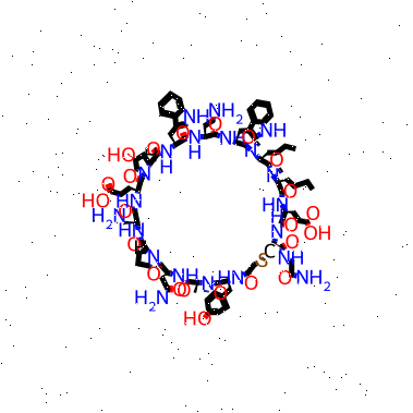 CCCC[C@H]1C(=O)N(C)[C@@H](CCCC)C(=O)N[C@@H](CCC(=O)O)C(=O)N[C@H](C(=O)NCC(N)=O)CSCC(=O)N[C@@H](Cc2ccc(O)cc2)C(=O)N(C)[C@@H](C)C(=O)N[C@@H](CC(N)=O)C(=O)N2CCC[C@H]2C(=O)N[C@@H](CN)C(=O)N[C@@H](CCC(=O)O)C(=O)N2C[C@H](O)C[C@H]2C(=O)N[C@@H](Cc2c[nH]c3ccccc23)C(=O)N[C@@H](CCN)C(=O)N[C@@H](Cc2c[nH]c3ccccc23)C(=O)N1C